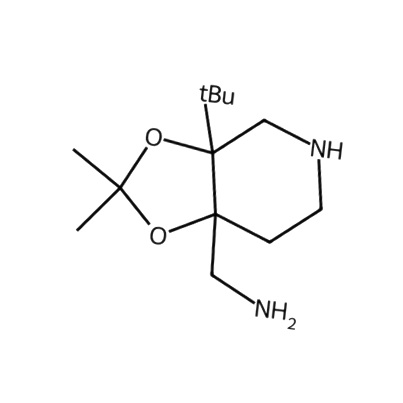 CC1(C)OC2(CN)CCNCC2(C(C)(C)C)O1